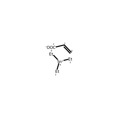 C=CC(=O)[O-].C[CH2][Sn+]([CH2]C)[CH2]C